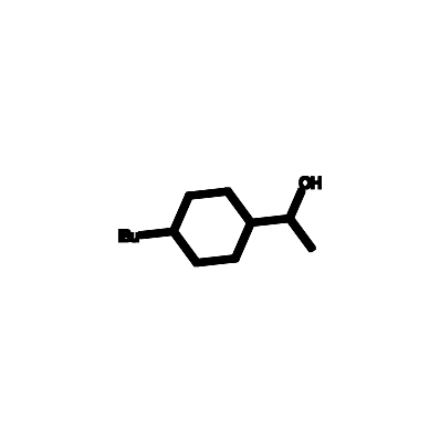 CCC(C)C1CCC(C(C)O)CC1